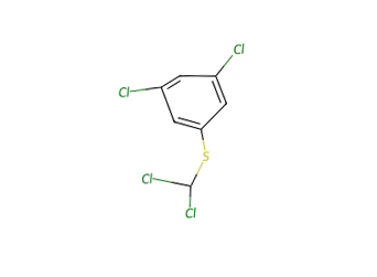 Clc1cc(Cl)cc(SC(Cl)Cl)c1